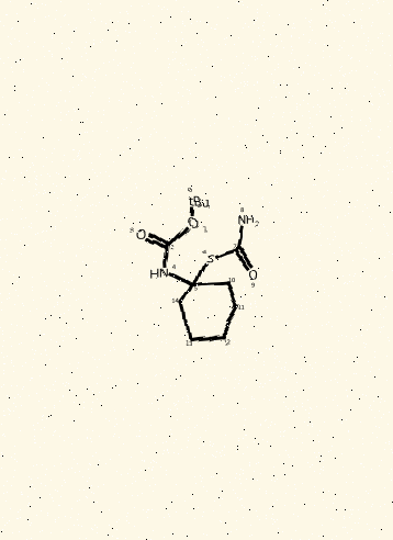 CC(C)(C)OC(=O)NC1(SC(N)=O)CCCCC1